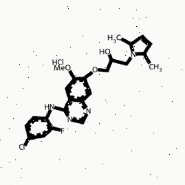 COc1cc2c(Nc3ccc(Cl)cc3F)ncnc2cc1OCC(O)CN1C(C)C=CC1C.Cl